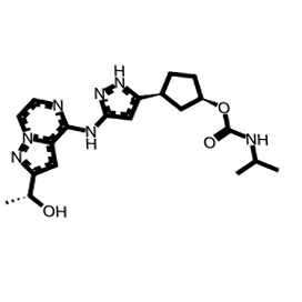 CC(C)NC(=O)O[C@@H]1CC[C@H](c2cc(Nc3nccn4nc([C@@H](C)O)cc34)n[nH]2)C1